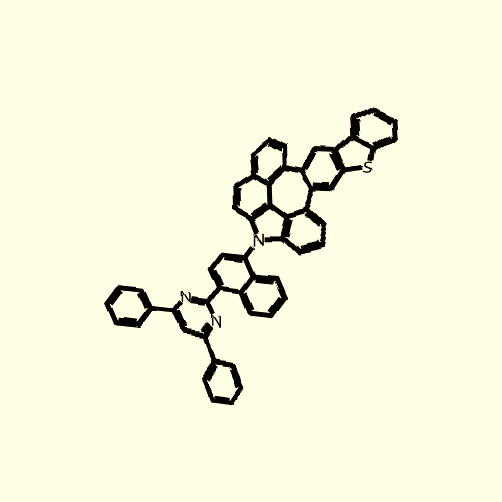 c1ccc(-c2cc(-c3ccccc3)nc(-c3ccc(-n4c5cccc6c5c5c7c(cccc7ccc54)-c4cc5c(cc4-6)sc4ccccc45)c4ccccc34)n2)cc1